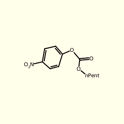 CCCCCOC(=O)Oc1ccc([N+](=O)[O-])cc1